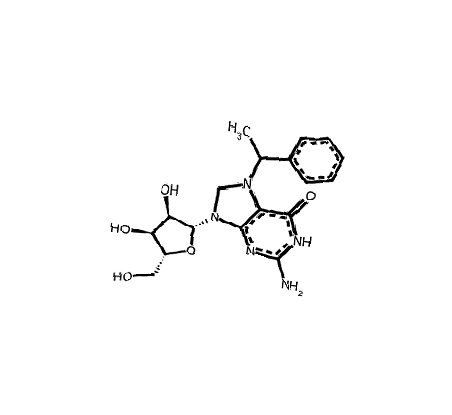 CC(c1ccccc1)N1CN([C@@H]2O[C@H](CO)[C@@H](O)[C@H]2O)c2nc(N)[nH]c(=O)c21